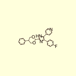 Fc1ccc(-c2nc(C3OCC(c4ccccc4)CO3)[nH]c2-c2ccncc2)cc1